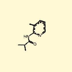 Cc1cccnc1NC(=O)C(C)C